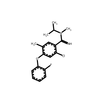 Cc1cc(C(=N)N(C)C(C)C)c(Cl)cc1Oc1ccccc1F